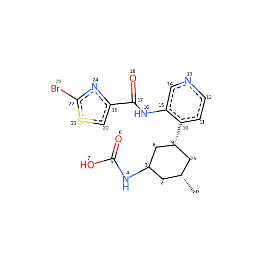 C[C@@H]1CC(NC(=O)O)C[C@H](c2ccncc2NC(=O)c2csc(Br)n2)C1